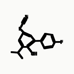 CC(C)c1cc(SC#N)cc(-c2ccc(F)cc2)c1O